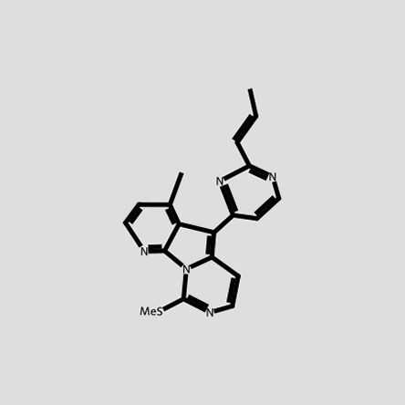 C/C=C/c1nccc(-c2c3c(C)ccnc3n3c(SC)nccc23)n1